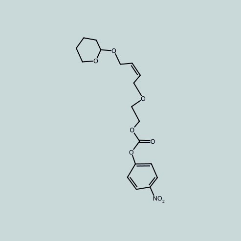 O=C(OCCOC/C=C\COC1CCCCO1)Oc1ccc([N+](=O)[O-])cc1